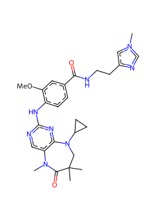 COc1cc(C(=O)NCCc2cn(C)cn2)ccc1Nc1ncc2c(n1)N(C1CC1)CC(C)(C)C(=O)N2C